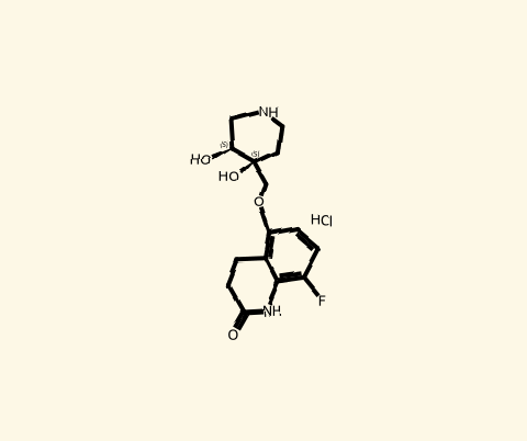 Cl.O=C1CCc2c(OC[C@@]3(O)CCNC[C@@H]3O)ccc(F)c2N1